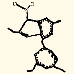 CC1=Cc2c(-c3cc(C)cc(C)c3)cc(C)cc2[CH]1[Zr]([Cl])[Cl]